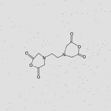 O=C1CN(CCN2CC(=O)OC(=O)C2)CC(=O)O1